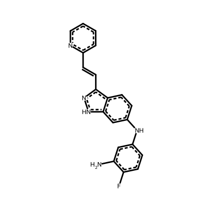 Nc1cc(Nc2ccc3c(C=Cc4ccccn4)n[nH]c3c2)ccc1F